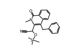 Cn1c(C(C#N)O[Si](C)(C)C)c(Cc2ccccc2)c2ccccc2c1=O